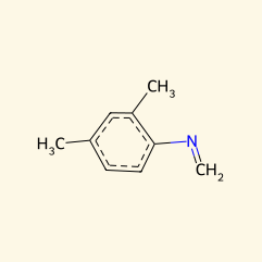 C=Nc1ccc(C)cc1C